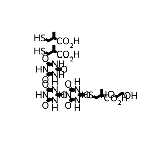 CC(CS)C(=O)O.CC(CS)C(=O)O.CC(CS)C(=O)O.O=c1[nH]c(=O)[nH]c(=O)[nH]1.O=c1[nH]c(=O)[nH]c(=O)[nH]1.O=c1[nH]c(=O)[nH]c(=O)[nH]1.OCCO